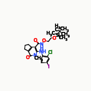 Cn1c(Nc2ccc(I)cc2Cl)c(C(=O)NOCCO[Si](C)(C)C(C)(C)C)c2c(c1=O)CCC2